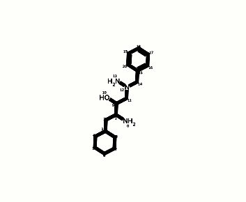 NC(CC1CCCCC1)C(O)CN(N)Cc1ccccc1